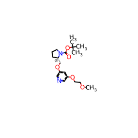 COCCOc1cncc(OC[C@@H]2CCCN2C(=O)OC(C)(C)C)c1